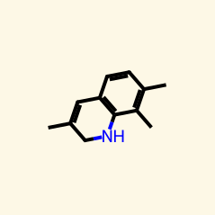 CC1=Cc2ccc(C)c(C)c2NC1